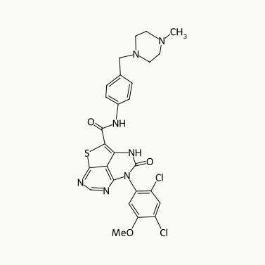 COc1cc(N2C(=O)Nc3c(C(=O)Nc4ccc(CN5CCN(C)CC5)cc4)sc4ncnc2c34)c(Cl)cc1Cl